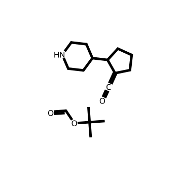 CC(C)(C)OC=O.O=C=C1CCCC1C1CCNCC1